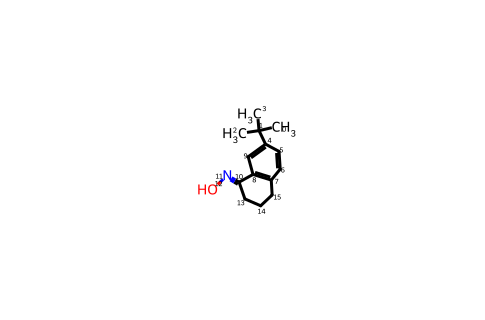 CC(C)(C)c1ccc2c(c1)C(=NO)CCC2